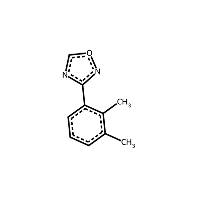 Cc1cccc(-c2ncon2)c1C